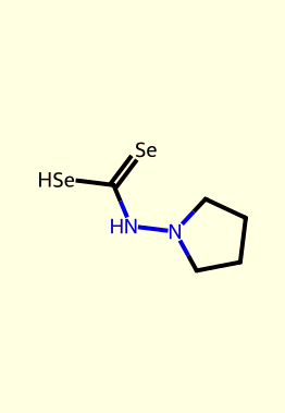 [Se]=C([SeH])NN1CCCC1